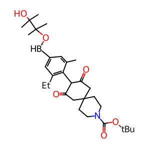 CCc1cc(BOC(C)(C)C(C)(C)O)cc(C)c1C1C(=O)CC2(CCN(C(=O)OC(C)(C)C)CC2)CC1=O